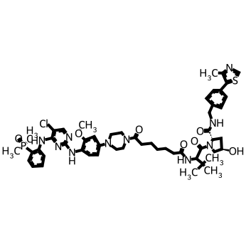 COc1cc(N2CCN(C(=O)CCCCCC(=O)NC(C(=O)N3C[C@H](O)C[C@H]3C(=O)NCc3ccc(-c4scnc4C)cc3)C(C)(C)C)CC2)ccc1Nc1ncc(Cl)c(Nc2ccccc2P(C)(C)=O)n1